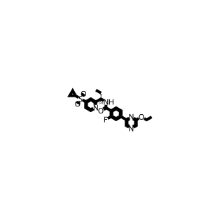 CCOc1cncc(-c2ccc(C(=O)N[C@@H](CC)c3cc(S(=O)(=O)C4CC4)ccn3)c(F)c2)n1